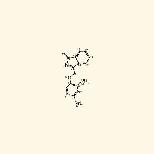 Cn1nc(COc2cnc(N)nc2N)c2ccccc21